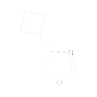 C1=NC(C2CCC2)CO1